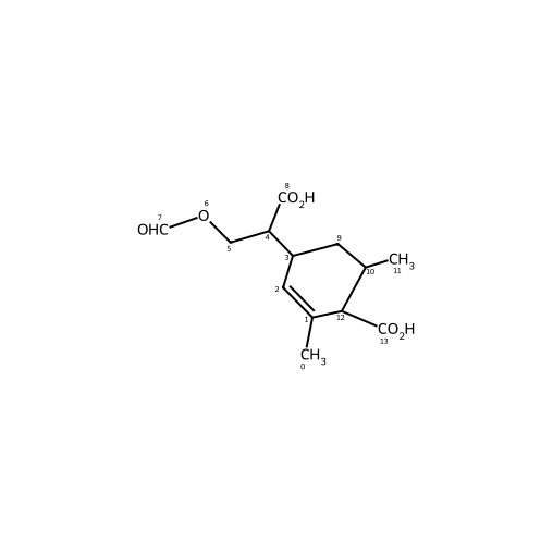 CC1=CC(C(COC=O)C(=O)O)CC(C)C1C(=O)O